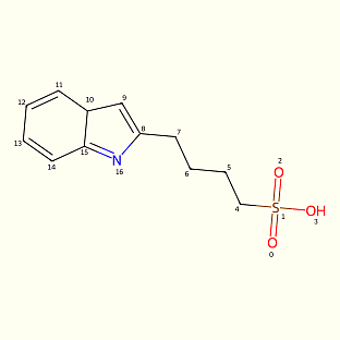 O=S(=O)(O)CCCCC1=CC2C=CC=CC2=N1